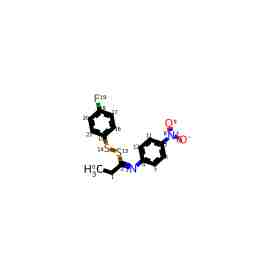 CCC(=Nc1ccc([N+](=O)[O-])cc1)SSc1ccc(F)cc1